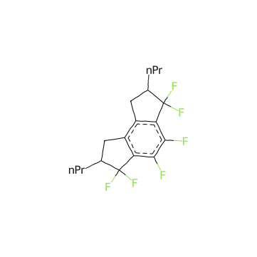 CCCC1Cc2c3c(c(F)c(F)c2C1(F)F)C(F)(F)C(CCC)C3